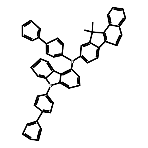 CC1(C)c2cc(N(c3ccc(-c4ccccc4)cc3)c3cccc4c3c3ccccc3n4-c3ccc(-c4ccccc4)cc3)ccc2-c2ccc3ccccc3c21